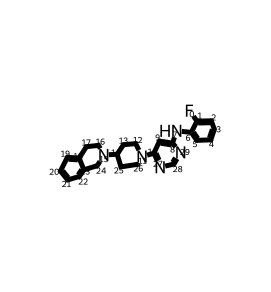 Fc1ccccc1Nc1cc(N2CCC(N3CCc4ccccc4C3)CC2)ncn1